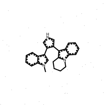 Cn1cc(-c2c[nH]cc2-c2c3n(c4ccccc24)CCCC3)c2ccccc21